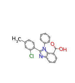 Cc1ccc(-c2nc3cccc(C(=O)O)c3n2-c2ccccc2)c(Cl)c1